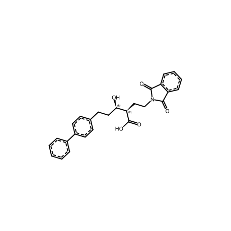 O=C(O)[C@H](CCN1C(=O)c2ccccc2C1=O)[C@H](O)CCc1ccc(-c2ccccc2)cc1